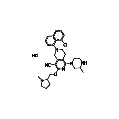 CC1CN(c2nc(OCC3CCCN3C)c(C#N)c3c2CCN(c2cccc4cccc(Cl)c24)C3)CCN1.Cl